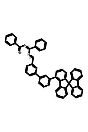 N=C(/N=C(\N=C\c1cccc(-c2cccc(-c3cccc4c3-c3ccccc3C43c4ccccc4-c4ccccc43)c2)c1)c1ccccc1)c1ccccc1